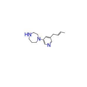 CC=CCc1cncc(N2CCCNCC2)c1